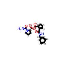 NC(=O)N1CCC[C@H]1C(=O)OC(=O)C1CCC=C1C(=O)NCc1ccccc1